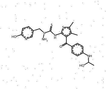 Cc1sc(NC(=S)N(N)Cc2ccc(O)nc2)c(C(=O)c2ccc(NC(C)O)cc2)c1C